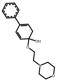 OC1(OCCN2CCOCC2)C=CC(c2ccccc2)=CC1